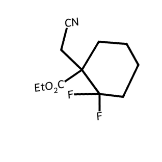 CCOC(=O)C1(CC#N)CCCCC1(F)F